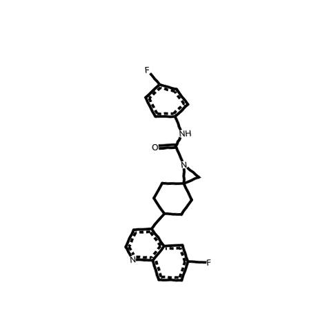 O=C(Nc1ccc(F)cc1)N1CC12CCC(c1ccnc3ccc(F)cc13)CC2